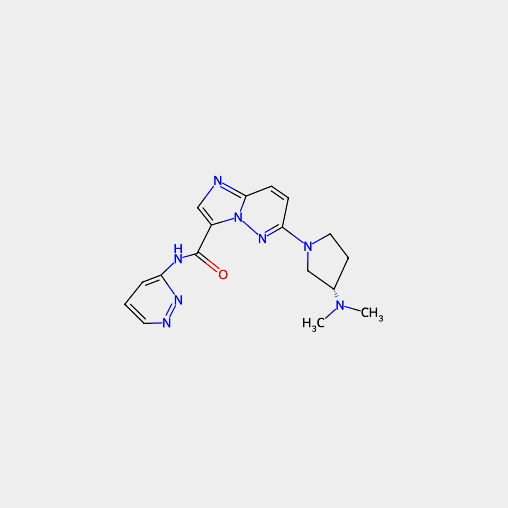 CN(C)[C@H]1CCN(c2ccc3ncc(C(=O)Nc4cccnn4)n3n2)C1